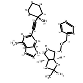 CC1(C)O[C@@H]2[C@H](O1)[C@@H](COCc1ccccc1)O[C@H]2n1cnc2c(N)nc(C#CC3(O)CCCCC3)nc21